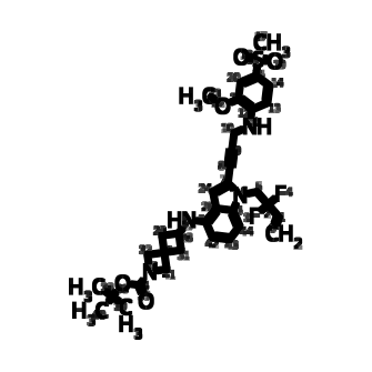 C=CC(F)(F)Cn1c(C#CCNc2ccc(S(C)(=O)=O)cc2OC)cc2c(NC3CC4(C3)CN(C(=O)OC(C)(C)C)C4)cccc21